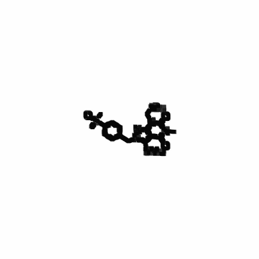 C=S(C)(=O)c1ccc(Cn2nc3c(c2SC)c(=O)n(C)c(=O)n3CC(C)(C)C)cc1